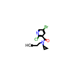 C#CCCN(C(=O)c1cc(Br)cnc1Cl)C1CC1